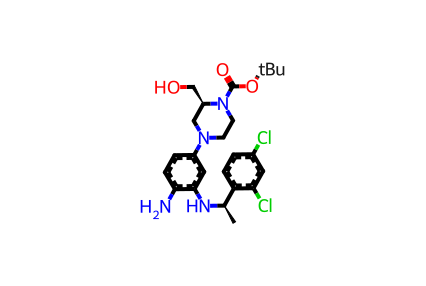 C[C@@H](Nc1cc(N2CCN(C(=O)OC(C)(C)C)[C@H](CO)C2)ccc1N)c1ccc(Cl)cc1Cl